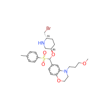 COCCCN1CCOc2ccc(C(O[C@@H]3CC[C@@H](CBr)NC3)S(=O)(=O)c3ccc(C)cc3)cc21